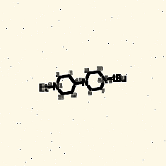 CCN1CCC(N2CCN(C(C)(C)C)CC2)CC1